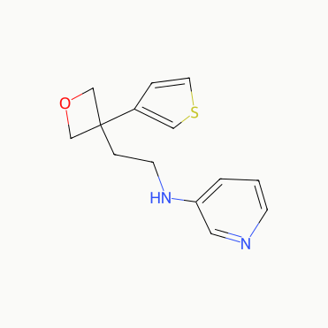 c1cncc(NCCC2(c3ccsc3)COC2)c1